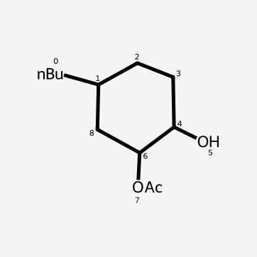 CCCCC1CCC(O)C(OC(C)=O)C1